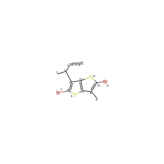 CCCCCCCC(C)c1c(Br)sc2c(C)c(Br)sc12